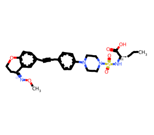 CCC[C@H](NS(=O)(=O)N1CCN(c2ccc(C#Cc3ccc4c(c3)/C(=N\OC)CCO4)cc2)CC1)C(=O)O